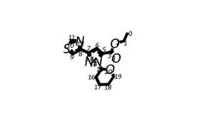 CCOC(=O)c1cc(-c2cscn2)nn1C1CCCCO1